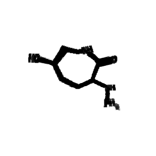 O=C1NCC(O)CCC1NP